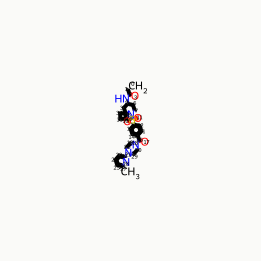 C=CC(=O)NC1CCN(S(=O)(=O)c2ccc(C(=O)N3CCN(c4cccc(C)n4)CC3)cc2)C2(CCC2)C1